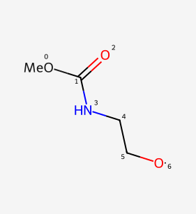 COC(=O)NCC[O]